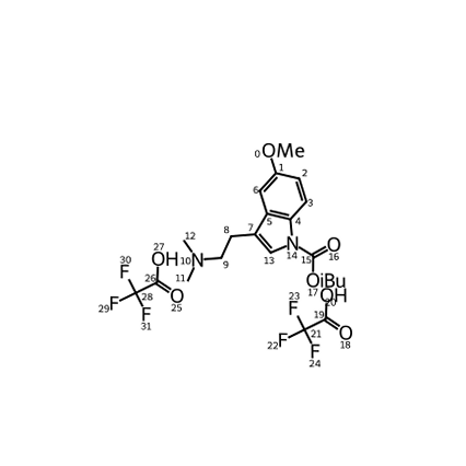 COc1ccc2c(c1)c(CCN(C)C)cn2C(=O)OCC(C)C.O=C(O)C(F)(F)F.O=C(O)C(F)(F)F